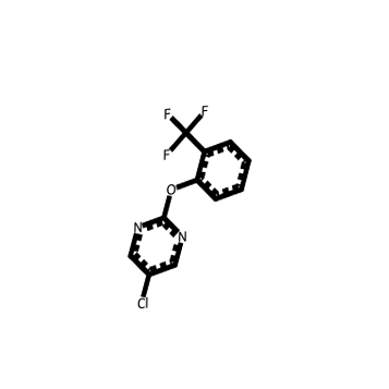 FC(F)(F)c1ccccc1Oc1ncc(Cl)cn1